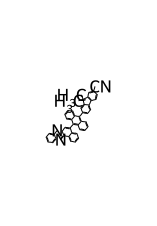 CC1(C)c2cc(C#N)ccc2-c2ccc(-c3c4ccccc4c(-c4cc5nc6ccccc6nc5c5ccccc45)c4ccccc34)cc21